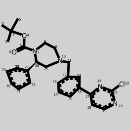 CC(C)(C)OC(=O)N1CCN(Cc2cccc(-c3ccnc(Cl)n3)c2)C[C@H]1c1ccccc1